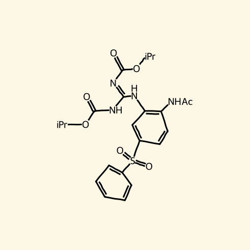 CC(=O)Nc1ccc(S(=O)(=O)c2ccccc2)cc1NC(=NC(=O)OC(C)C)NC(=O)OC(C)C